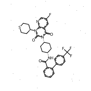 O=C(N[C@H]1CC[C@@H](n2c(=O)c3cc(F)cnc3n(C3CCSCC3)c2=O)CC1)c1ccccc1-c1ccc(C(F)(F)F)cc1